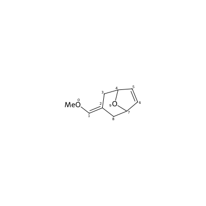 COC=C1CC2C=CC(C1)O2